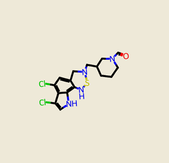 O=CN1CCCC(CN2Cc3cc(Cl)c4c(Cl)c[nH]c4c3NS2)C1